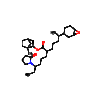 CCC(CCCC(CCCC(C)C1CCC2OC2C1)C(=O)OC1CC2CCC1(C)C2)N1CCCC1=O